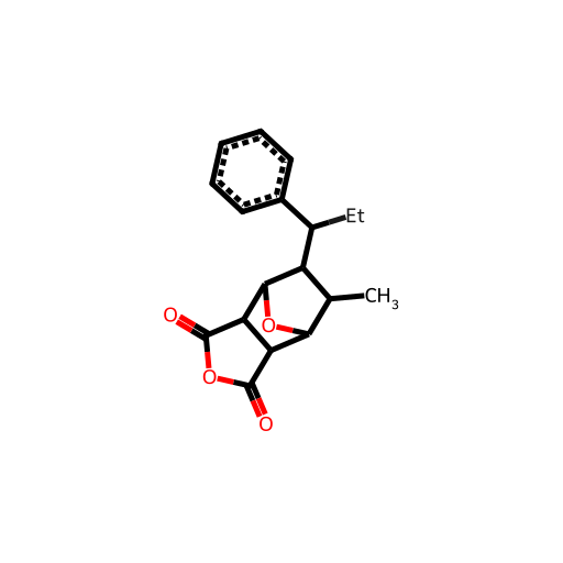 CCC(c1ccccc1)C1C(C)C2OC1C1C(=O)OC(=O)C21